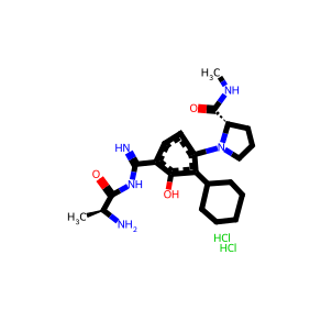 CNC(=O)[C@@H]1CCCN1c1ccc(C(=N)NC(=O)[C@H](C)N)c(O)c1C1CCCCC1.Cl.Cl